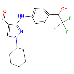 O=Cc1cn(C2CCCCC2)nc1Nc1ccc(C(O)C(F)(F)F)cc1